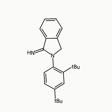 CC(C)(C)c1ccc(N2Cc3ccccc3C2=N)c(C(C)(C)C)c1